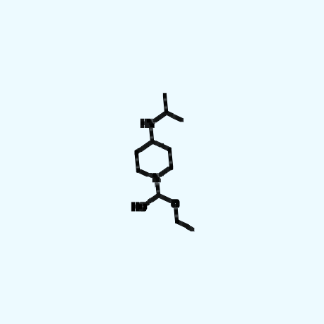 CCOC(O)N1CCC(NC(C)C)CC1